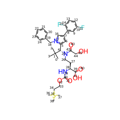 CC(C)(C)[C@H](c1cc(-c2cc(F)ccc2F)cn1Cc1ccccc1)N(CC[C@H](NC(=O)OCCS(C)(C)C)C(=O)O)C(=O)CO